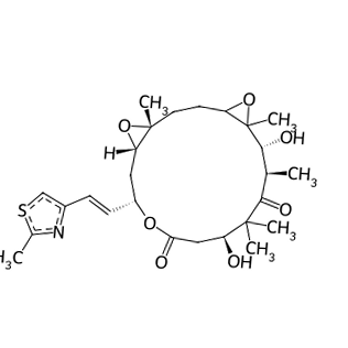 Cc1nc(C=C[C@@H]2C[C@@H]3O[C@]3(C)CCC3OC3(C)[C@H](O)[C@@H](C)C(=O)C(C)(C)[C@@H](O)CC(=O)O2)cs1